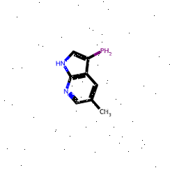 Cc1cnc2[nH]cc(P)c2c1